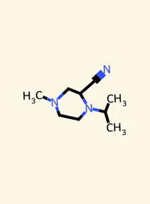 CC(C)N1CCN(C)CC1C#N